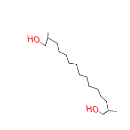 CC(CO)CCCCCCCCCCCC(C)CO